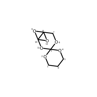 C1COC2(OC1)OCC13OC1(O2)O3